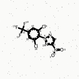 O=[N+]([O-])c1cnn(-c2c(Cl)cc(C(F)(F)F)cc2Cl)n1